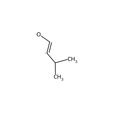 CC(C)/[C]=C/[O]